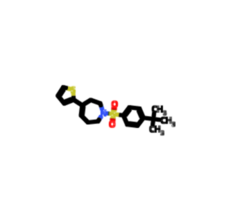 CC(C)(C)c1ccc(S(=O)(=O)N2CCC=C(c3cccs3)CC2)cc1